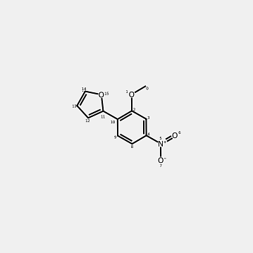 COc1cc([N+](=O)[O-])ccc1-c1cc[c]o1